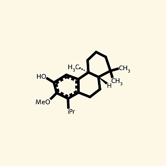 COc1c(O)cc2c(c1C(C)C)CC[C@H]1C(C)(C)CCC[C@]21C